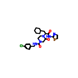 O=C(Nc1nccs1)C(CC1CCCCC1)N1CCN(C(=O)NCc2ccc(Cl)cc2)CC1=O